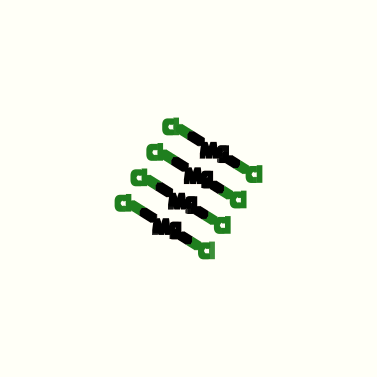 [Cl][Mg][Cl].[Cl][Mg][Cl].[Cl][Mg][Cl].[Cl][Mg][Cl]